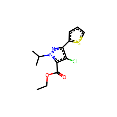 CCOC(=O)c1c(Cl)c(-c2cccs2)nn1C(C)C